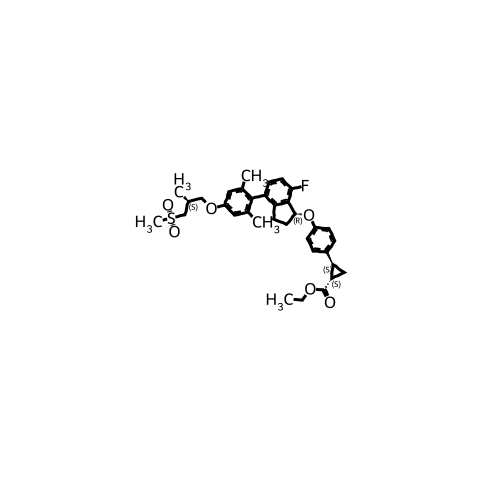 CCOC(=O)[C@H]1C[C@@H]1c1ccc(O[C@@H]2CCc3c(-c4c(C)cc(OC[C@H](C)CS(C)(=O)=O)cc4C)ccc(F)c32)cc1